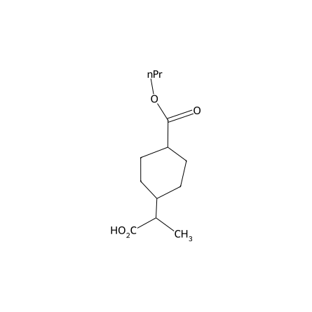 CCCOC(=O)C1CCC(C(C)C(=O)O)CC1